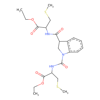 CCOC(=O)C(CSC)NC(=O)C1CN(C(=O)NC(CSC)C(=O)OCC)c2ccccc21